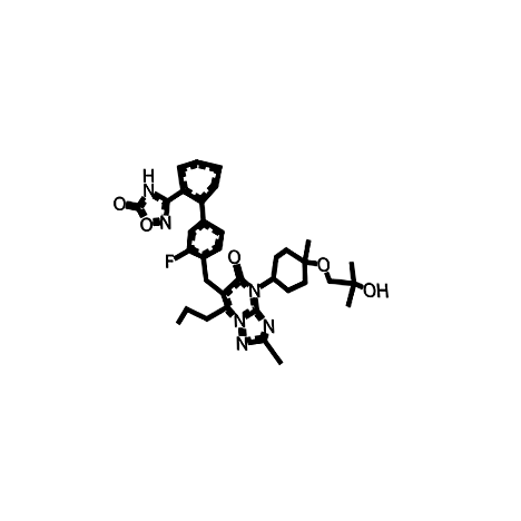 CCCc1c(Cc2ccc(-c3ccccc3-c3noc(=O)[nH]3)cc2F)c(=O)n(C2CCC(C)(OCC(C)(C)O)CC2)c2nc(C)nn12